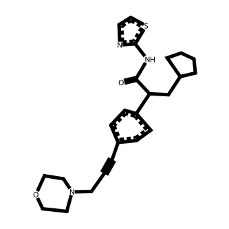 O=C(Nc1nccs1)C(CC1CCCC1)c1ccc(C#CCN2CCOCC2)cc1